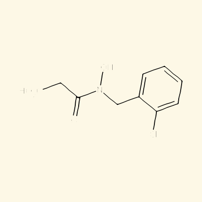 O=C(O)CC(=O)N(O)Cc1ccccc1Cl